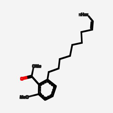 CCCCCC/C=C\CCCCCCCc1cccc(OC)c1C(=O)OC